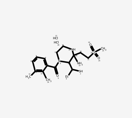 CCC(S)C1N(C(=O)c2cccc(C)c2C)CCNC1(N)CCS(C)(=O)=O.Cl.Cl